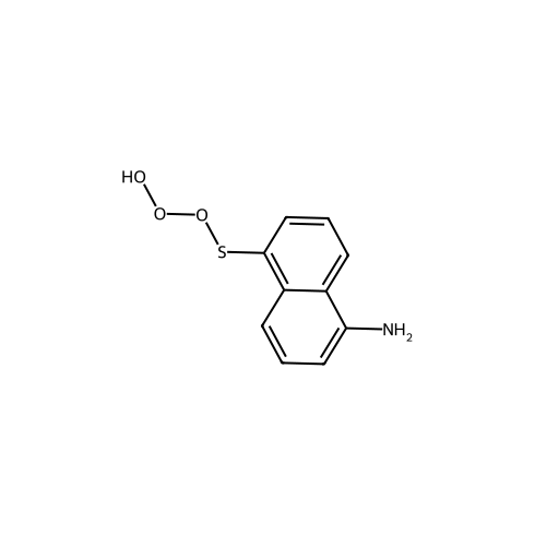 Nc1cccc2c(SOOO)cccc12